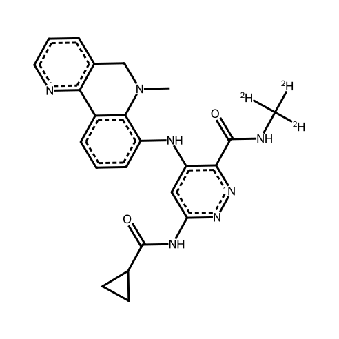 [2H]C([2H])([2H])NC(=O)c1nnc(NC(=O)C2CC2)cc1Nc1cccc2c1N(C)Cc1cccnc1-2